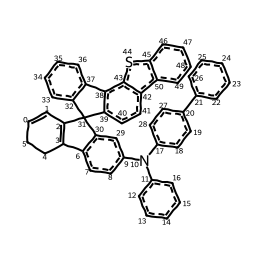 C1=CC2=C(CC1)c1ccc(N(c3ccccc3)c3ccc(-c4ccccc4)cc3)cc1C21c2ccccc2-c2c1ccc1c2sc2ccccc21